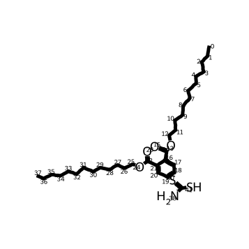 CCCCCCCCCCCCCOC(=O)c1ccccc1C(=O)OCCCCCCCCCCCCC.NC(=S)S